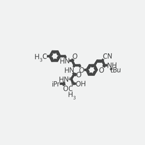 Cc1ccc(CNC(=O)C(COc2cccc(C=C(C#N)C(=O)NC(C)(C)C)c2)NC(=O)[C@@H](NC(=O)C(C)C)[C@@H](C)O)cc1